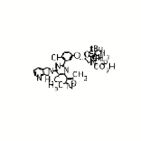 Cc1noc(C)c1-c1nc(-c2cc(OC[C@@H](CN(C)C(=O)O)O[Si](C)(C)C(C)(C)C)ccc2Cl)nc(N2Cc3cccnc3C2)c1C